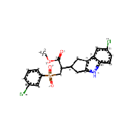 COC(=O)C(CS(=O)(=O)c1cccc(Br)c1)C1Cc2[nH]c3ccc(Cl)cc3c2C1